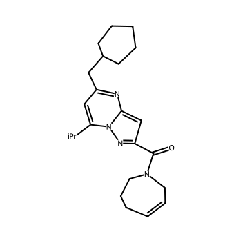 CC(C)c1cc(CC2CCCCC2)nc2cc(C(=O)N3CC=CCCC3)nn12